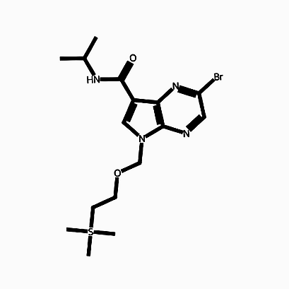 CC(C)NC(=O)c1cn(COCCS(C)(C)C)c2ncc(Br)nc12